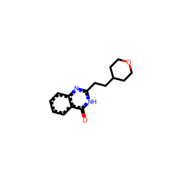 O=c1[nH]c(CCC2CCOCC2)nc2ccccc12